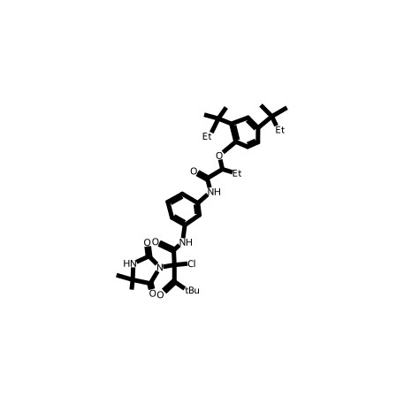 CCC(Oc1ccc(C(C)(C)CC)cc1C(C)(C)CC)C(=O)Nc1cccc(NC(=O)C(Cl)(C(=O)C(C)(C)C)N2C(=O)NC(C)(C)C2=O)c1